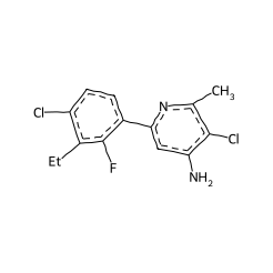 CCc1c(Cl)ccc(-c2cc(N)c(Cl)c(C)n2)c1F